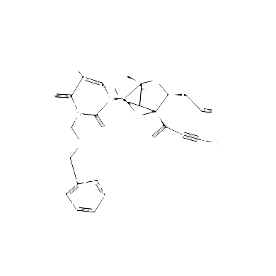 C=CC[C@@H]1O[C@H]2[C@H](n3cc(C)c(=O)n(COCc4ccccc4)c3=O)O[C@]1(C(=O)C#CC)[C@H]2OC